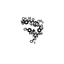 Cc1noc2ccc(NC(=O)C(=O)NCC(C)(C)CNC(=O)c3ccc(Nc4nc(NC5(c6ccc(Cl)cc6)CC5)nc(OCC(F)(F)F)n4)cc3F)cc12